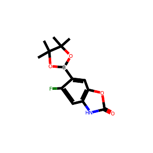 CC1(C)OB(c2cc3oc(=O)[nH]c3cc2F)OC1(C)C